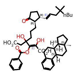 CCCCC(C)(C)C/C=C/[C@H]1CCC(=O)[C@@H]1CCCC(O)(CC(=O)O)/C(OC(=O)c1ccccc1)=C(\O)C(=O)O.C[C@@]12CCC[C@H]1[C@@H]1CCc3ccccc3[C@H]1CC2